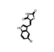 O=C1NC(=O)/C(=C\c2c[nH]c3ccc(Br)cc23)S1